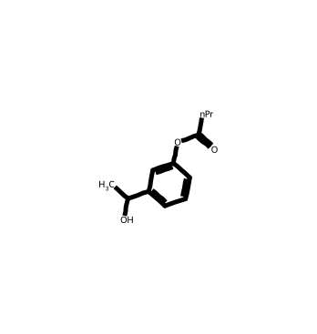 CCCC(=O)Oc1cccc(C(C)O)c1